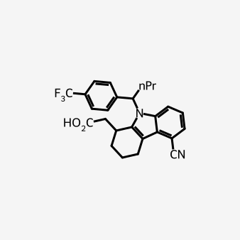 CCCC(c1ccc(C(F)(F)F)cc1)n1c2c(c3c(C#N)cccc31)CCCC2CC(=O)O